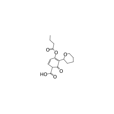 CCCC(=O)OC1=C(C2CCCCO2)C(=O)C(C(=O)O)C=C1